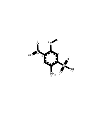 CSc1cc(S(=O)(=O)O)c(N)cc1[N+](=O)[O-]